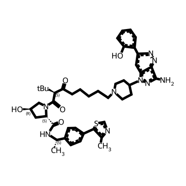 Cc1ncsc1-c1ccc([C@H](C)NC(=O)[C@@H]2C[C@@H](O)CN2C(=O)[C@H](C(=O)CCCCCN2CCC(n3nc(N)c4nnc(-c5ccccc5O)cc43)CC2)C(C)(C)C)cc1